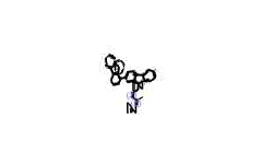 C=N/C=C(C)\C=C/Cn1c2ccccc2c2ccc(-c3cccc4c3OC3C=CC=CC43)cc21